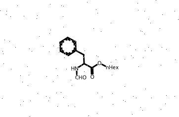 CCCCCCOC(=O)C(Cc1ccccc1)NC=O